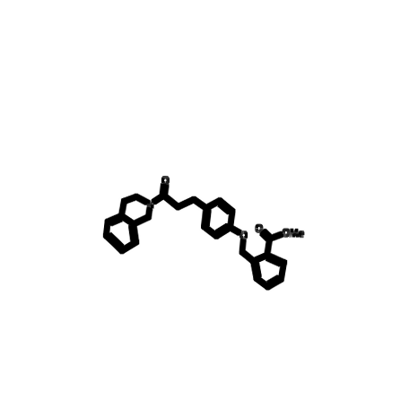 COC(=O)c1ccccc1COc1ccc(CCC(=O)N2CCc3ccccc3C2)cc1